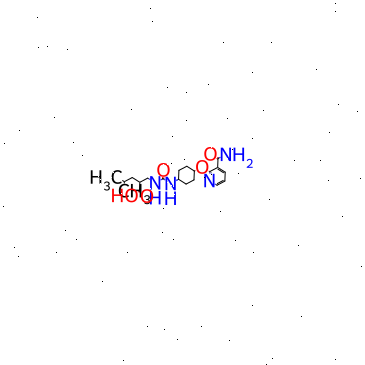 CC(C)CC(CNC(=O)N[C@H]1CC[C@H](Oc2ncccc2C(N)=O)CC1)C(=O)O